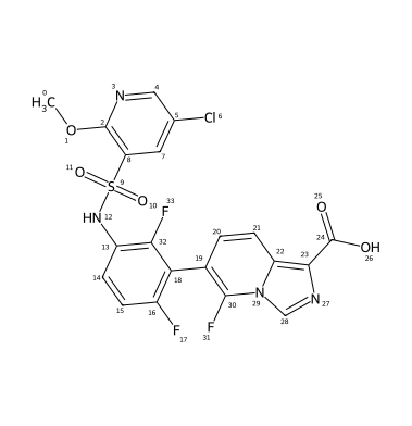 COc1ncc(Cl)cc1S(=O)(=O)Nc1ccc(F)c(-c2ccc3c(C(=O)O)ncn3c2F)c1F